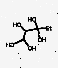 CCC(O)(O)C(O)C(O)O